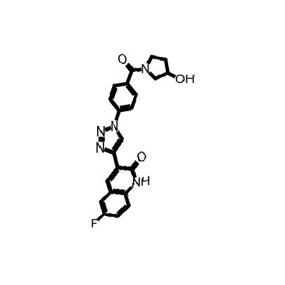 O=C(c1ccc(-n2cc(-c3cc4cc(F)ccc4[nH]c3=O)nn2)cc1)N1CCC(O)C1